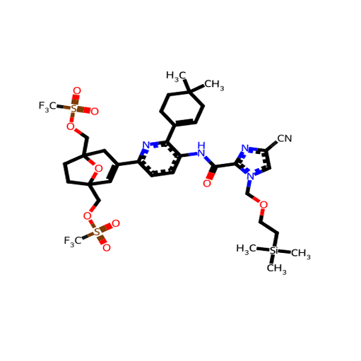 CC1(C)CC=C(c2nc(C3=CC4(COS(=O)(=O)C(F)(F)F)CCC(COS(=O)(=O)C(F)(F)F)(C3)O4)ccc2NC(=O)c2nc(C#N)cn2COCC[Si](C)(C)C)CC1